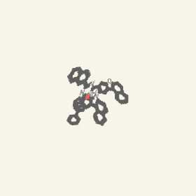 c1ccc(-c2ccc(C3=NC(c4ccc5ccccc5c4)=NC(c4cc5oc6ccc7ccccc7c6c5cc4-n4c5cc6ccccc6cc5c5c6ccccc6ccc54)N3)cc2)cc1